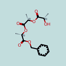 C[C@H](O)C(=O)O[C@@H](C)C(=O)O[C@@H](C)C(=O)OCc1ccccc1